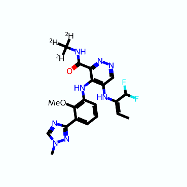 [2H]C([2H])([2H])NC(=O)c1nncc(NC(=CC)C(F)F)c1Nc1cccc(-c2ncn(C)n2)c1OC